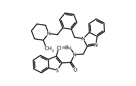 CCCCN(Cc1nc2ccccc2n1Cc1ccccc1CN1CCCCC1C)C(=O)c1sc2ccccc2c1Cl